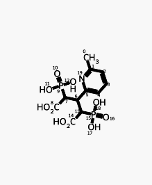 Cc1cccc(C(C(C(=O)O)P(=O)(O)O)C(C(=O)O)P(=O)(O)O)n1